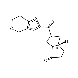 O=C1CC[C@H]2CN(C(=O)c3cc4c(s3)CCOC4)CC12